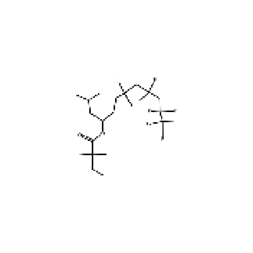 CCC(C)(C)C(=O)OC(CCC(F)(F)CC(F)(F)CC(F)(F)C(F)(F)F)CC(C)C